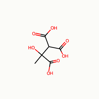 CC(O)(C(=O)O)C(C(=O)O)C(=O)O